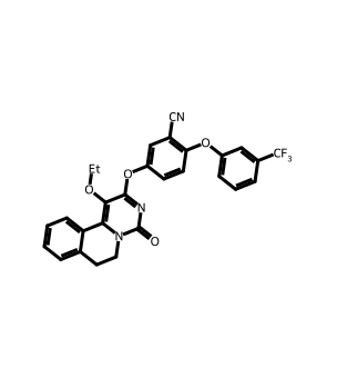 CCOc1c(Oc2ccc(Oc3cccc(C(F)(F)F)c3)c(C#N)c2)nc(=O)n2c1-c1ccccc1CC2